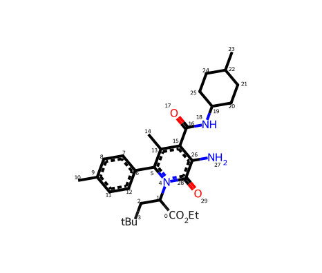 CCOC(=O)C(CC(C)(C)C)n1c(-c2ccc(C)cc2)c(C)c(C(=O)NC2CCC(C)CC2)c(N)c1=O